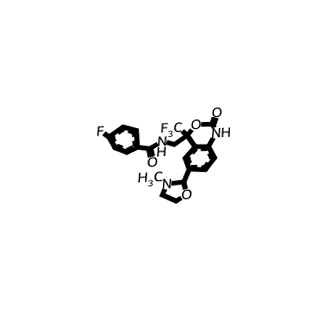 CN1CCOC1c1ccc2c(c1)C(CNC(=O)c1ccc(F)cc1)(C(F)(F)F)OC(=O)N2